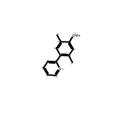 COc1cc(C)c(-c2ccccn2)cc1C